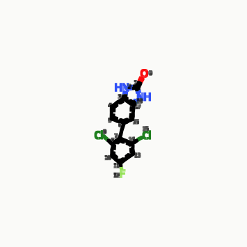 O=c1[nH]c2ccc(-c3c(Cl)cc(F)cc3Cl)cc2[nH]1